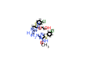 CONc1nc(N)ncc1Sc1ccc(Cl)cc1.Nc1ncc(Sc2ccc(Cl)cc2)c(NOCCO)n1